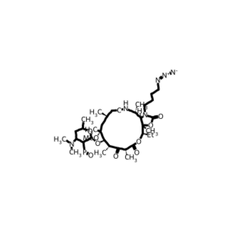 CC[C@H]1OC(=O)[C@H](C)C(=O)[C@H](C)[C@@H](O[C@@H]2OC(C)CC(N(C)C)C2P=O)[C@](C)(OC)C[C@@H](C)CCN[C@H](C)[C@H]2N(CCCCN=[N+]=[N-])C(=O)O[C@]12C